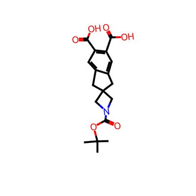 CC(C)(C)OC(=O)N1CC2(Cc3cc(C(=O)O)c(C(=O)O)cc3C2)C1